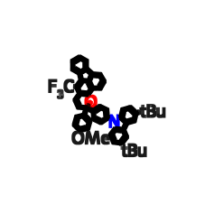 COc1ccc(C2(c3ccc(-n4c5ccc(C(C)(C)C)cc5c5cc(C(C)(C)C)ccc54)cc3)C=Cc3c(C(F)(F)F)c4c5c(cccc5c3O2)-c2ccccc2-4)cc1